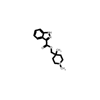 CN1CCC(C)(COC(=O)c2n[nH]c3ccccc23)CC1